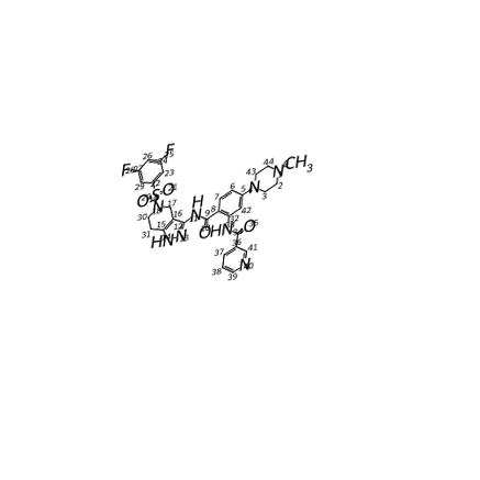 CN1CCN(c2ccc(C(=O)Nc3n[nH]c4c3CN(S(=O)(=O)c3cc(F)cc(F)c3)CC4)c(NC(=O)c3cccnc3)c2)CC1